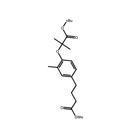 CCCCOC(=O)C(C)(C)Oc1ccc(CCCC(=O)OC)cc1C